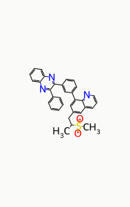 CC(Cc1cc(-c2cccc(-c3nc4ccccc4nc3-c3ccccc3)c2)c2ncccc2c1)S(C)(=O)=O